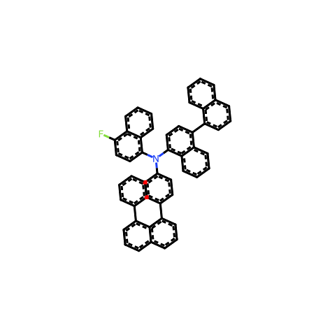 Fc1ccc(N(c2ccc(-c3cccc4cccc(-c5ccccc5)c34)cc2)c2ccc(-c3cccc4ccccc34)c3ccccc23)c2ccccc12